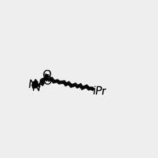 CC(=CC(=O)OCCCCCCCCCCCCCCCC(C)C)n1cncn1